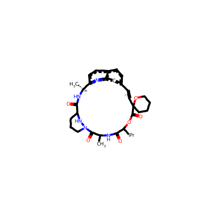 CC1NC(=O)C(C(C)C)OC(=O)C2(/C=C/c3ccc4ccc(nc4c3)[C@@H](C)NC(=O)C3CCCN(N3)C1=O)CCCCO2